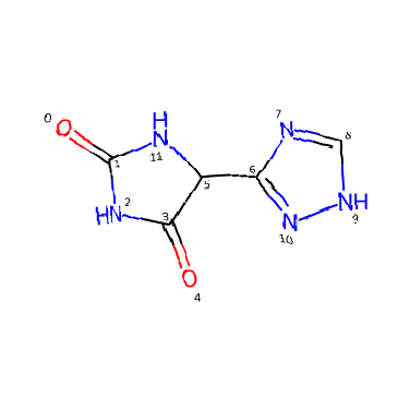 O=C1NC(=O)C(c2nc[nH]n2)N1